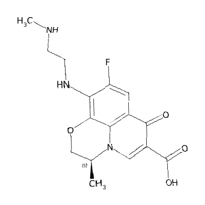 CNCCNc1c(F)cc2c(=O)c(C(=O)O)cn3c2c1OC[C@@H]3C